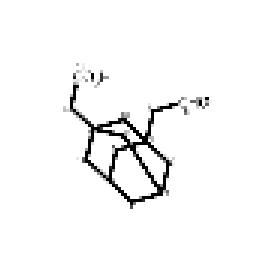 O=[C]CC12CC3CC(C1)CC(CC(=O)O)(C3)C2